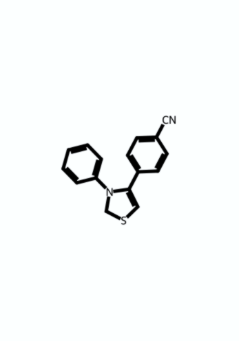 N#Cc1ccc(C2=CSCN2c2ccccc2)cc1